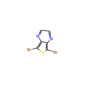 Brc1sc(Br)c2nccnc12